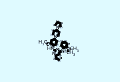 COc1cc(N2CCC(N3CCCC3)CC2)ccc1Nc1nc(Nc2ccccc2P(C)C)c2sccc2n1